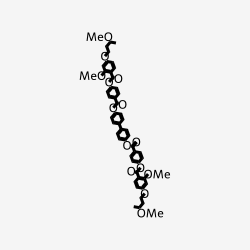 COc1cc(OCCC(C)OC)ccc1C(=O)Oc1ccc(C(=O)Oc2ccc(-c3ccc(OC(=O)c4ccc(OC(=O)c5ccc(OCCC(C)OC)cc5OC)cc4)cc3)cc2)cc1